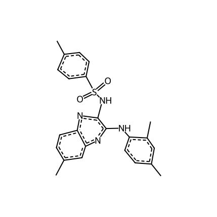 Cc1ccc(S(=O)(=O)Nc2nc3ccc(C)cc3nc2Nc2ccc(C)cc2C)cc1